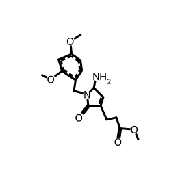 COC(=O)CCC1=CC(N)N(Cc2ccc(OC)cc2OC)C1=O